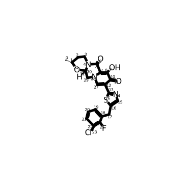 C[C@@H]1CCN2C(=O)c3c(O)c(=O)c(-c4ncc(Cc5cccc(Cl)c5F)s4)cn3C[C@@H]2O1